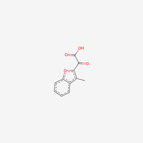 Cc1c(C(=O)C(=O)O)oc2ccccc12